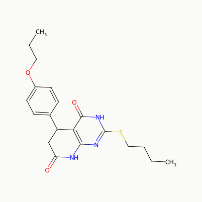 CCCCSc1nc2c(c(=O)[nH]1)C(c1ccc(OCCC)cc1)CC(=O)N2